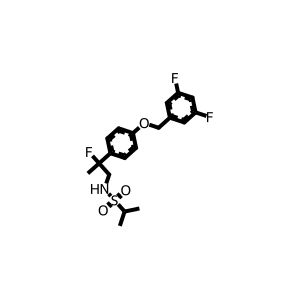 CC(C)S(=O)(=O)NCC(C)(F)c1ccc(OCc2cc(F)cc(F)c2)cc1